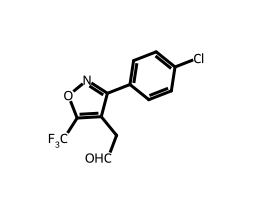 O=CCc1c(-c2ccc(Cl)cc2)noc1C(F)(F)F